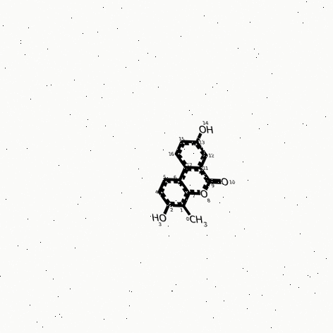 Cc1c(O)ccc2c1oc(=O)c1cc(O)ccc12